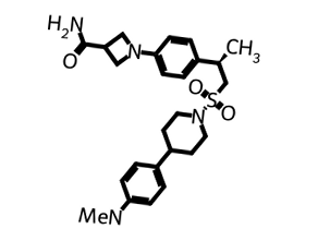 CNc1ccc(C2CCN(S(=O)(=O)C[C@H](C)c3ccc(N4CC(C(N)=O)C4)cc3)CC2)cc1